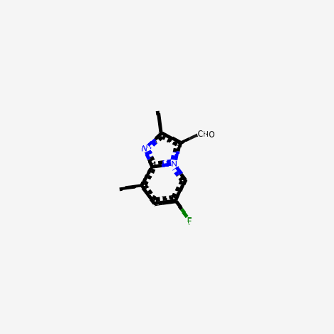 Cc1nc2c(C)cc(F)cn2c1C=O